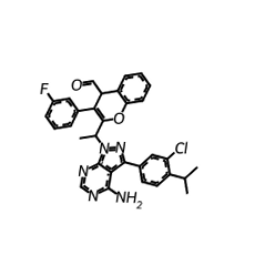 CC(C)c1ccc(-c2nn(C(C)C3=C(c4cccc(F)c4)C(C=O)c4ccccc4O3)c3ncnc(N)c23)cc1Cl